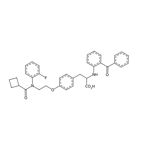 O=C(c1ccccc1)c1ccccc1NC(Cc1ccc(OCCN(C(=O)C2CCC2)c2ccccc2F)cc1)C(=O)O